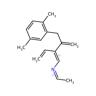 C=C/C(=C\N=C/C)C(=C)Cc1cc(C)ccc1C